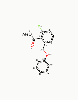 COC(=O)c1c(F)cccc1COc1ccccc1